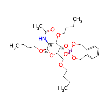 CCCCOCC1O[C@@H](OCCCC)[C@@H](NC(C)=O)C(OCCCC)[C@@H]1OP1(=O)OCc2ccccc2CO1